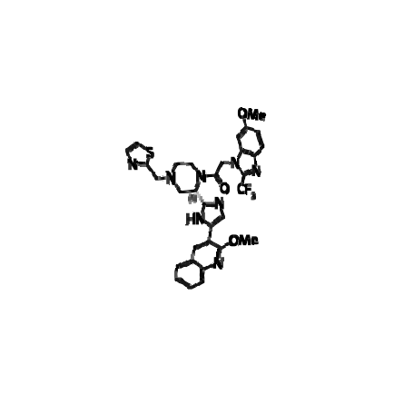 COc1ccc2nc(C(F)(F)F)n(CC(=O)N3CCN(Cc4nccs4)C[C@H]3c3ncc(-c4cc5ccccc5nc4OC)[nH]3)c2c1